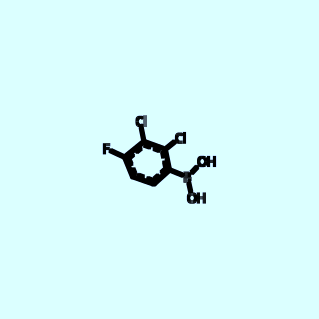 OB(O)c1ccc(F)c(Cl)c1Cl